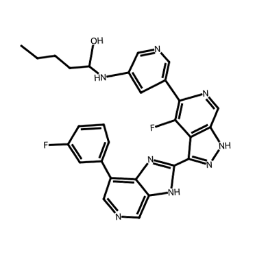 CCCCC(O)Nc1cncc(-c2ncc3[nH]nc(-c4nc5c(-c6cccc(F)c6)cncc5[nH]4)c3c2F)c1